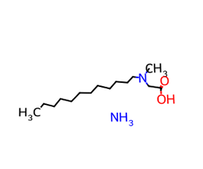 CCCCCCCCCCCCN(C)CC(=O)O.N